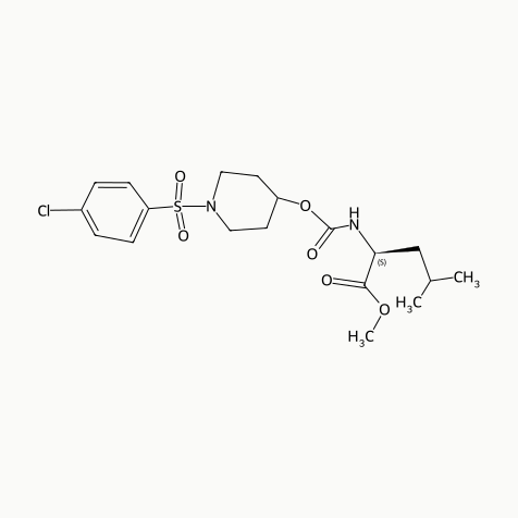 COC(=O)[C@H](CC(C)C)NC(=O)OC1CCN(S(=O)(=O)c2ccc(Cl)cc2)CC1